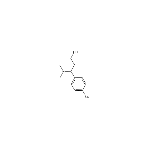 CN(C)C(CCO)c1ccc(C#N)cc1